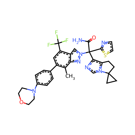 Cc1c(-c2ccc(N3CCOCC3)cc2)cc(C(F)(F)F)c2cn(C(C(N)=O)(c3nccs3)c3ncn4c3CCC43CC3)nc12